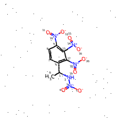 CC(N[N+](=O)[O-])c1ccc([N+](=O)[O-])c([N+](=O)[O-])c1[N+](=O)[O-]